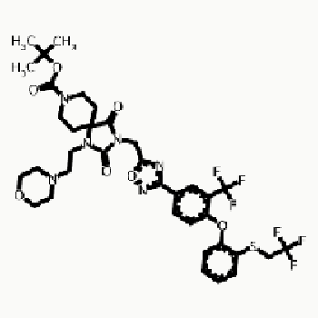 CC(C)(C)OC(=O)N1CCC2(CC1)C(=O)N(Cc1nc(-c3ccc(Oc4ccccc4SCC(F)(F)F)c(C(F)(F)F)c3)no1)C(=O)N2CCN1CCOCC1